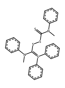 CN(C(=S)SSC(N(C)c1ccccc1)=S(c1ccccc1)c1ccccc1)c1ccccc1